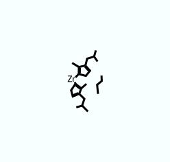 CC1=[C]([Zr][C]2=C(C)C(CC(C)C)=CC2)CC=C1CC(C)C.CCCC